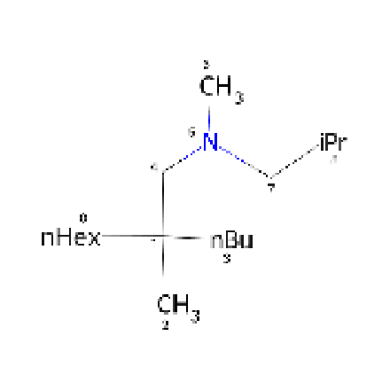 CCCCCCC(C)(CCCC)CN(C)CC(C)C